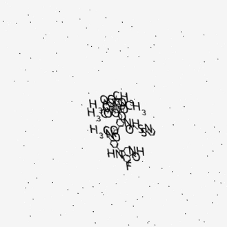 COC(=O)[C@H]1OC(Oc2ccc(COC(=O)N(C)Cc3ccc(-c4[nH]c5cc(F)cc6c5c4CCNC6=O)cc3)cc2NC(=O)CCSSc2ccccn2)[C@H](OC(C)=O)[C@@H](OC(C)=O)[C@@H]1OC(C)=O